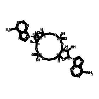 Nc1ncnc2c1ncn2[C@@H]1O[C@@H]2CCO[P@@](=O)(S)O[C@@H]3[C@H](O)[C@@H](CO[P@@](=O)(S)O[C@H]2[C@H]1O)O[C@H]3n1cnc2c(N)ncnc21